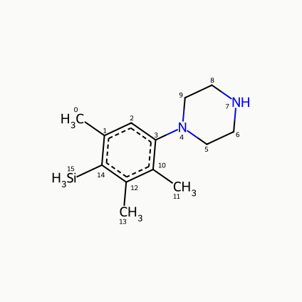 Cc1cc(N2CCNCC2)c(C)c(C)c1[SiH3]